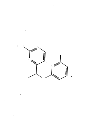 CC(Oc1cccc(F)n1)c1ccnc(N)n1